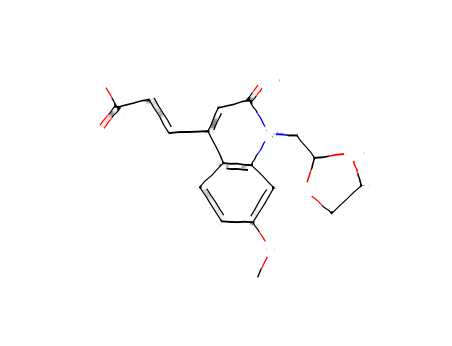 COc1ccc2c(C=CC(=O)O)cc(=O)n(CC3OCCO3)c2c1